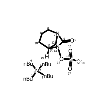 CCCC[N+](CCCC)(CCCC)CCCC.O=C1N2CCC[C@H](C2)N1OS(=O)(=O)[O-]